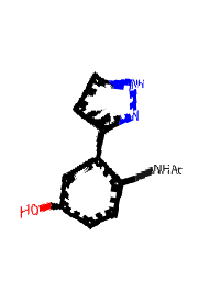 CC(=O)Nc1ccc(O)cc1-c1cc[nH]n1